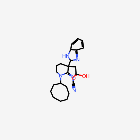 N#CN=C1N(C2CCCCCCC2)CC[CH]C1(CC(=O)O)C1N=C2C=CC=CC2N1